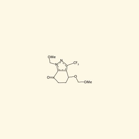 COCOC1CCC(=O)c2c1c(C(F)(F)F)nn2COC